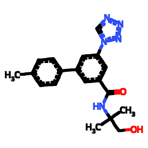 Cc1ccc(-c2cc(C(=O)NC(C)(C)CO)cc(-n3cnnn3)c2)cc1